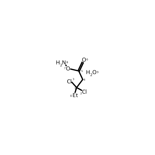 CCC(Cl)(Cl)CC(=O)ON.O